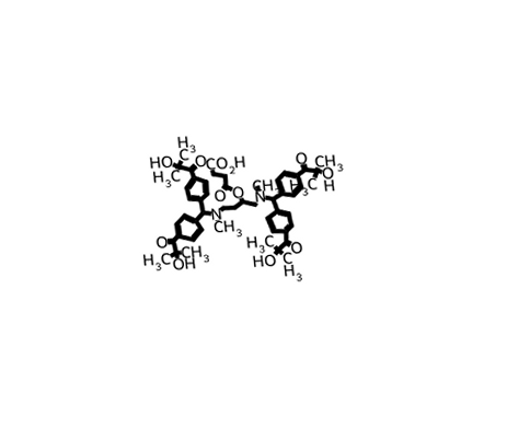 CN(CCC(CN(C)C(c1ccc(C(=O)C(C)(C)O)cc1)c1ccc(C(=O)C(C)(C)O)cc1)OC(=O)CCC(=O)O)C(c1ccc(C(=O)C(C)(C)O)cc1)c1ccc(C(=O)C(C)(C)O)cc1